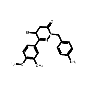 CCC1CC(=O)N(Cc2ccc(N)cc2)N=C1c1ccc(OC(F)(F)F)c(OC)c1